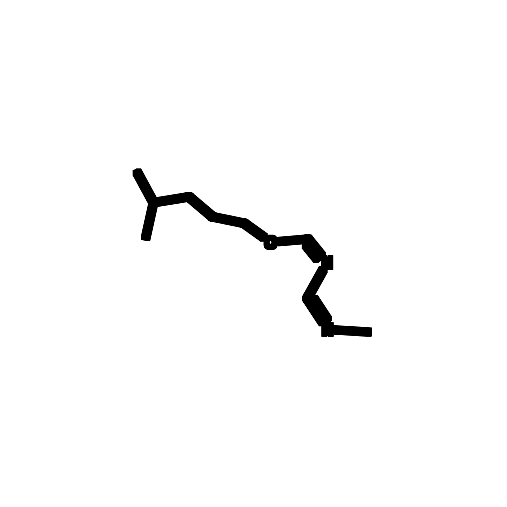 C/N=C\N=C/OCCCC(C)C